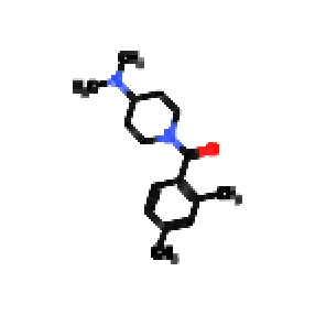 Cc1ccc(C(=O)N2CCC(N(C)C)CC2)c(C)c1